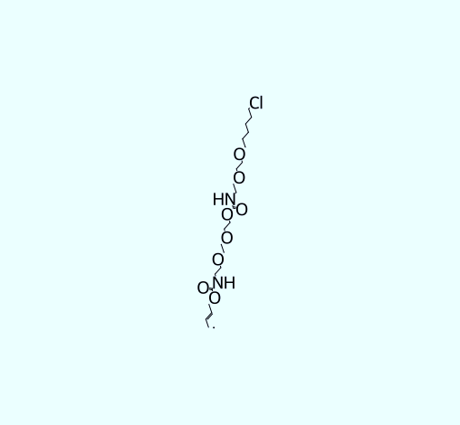 [CH2]/C=C/COC(=O)NCCOCCOCCOC(=O)NCCOCCOCCCCCCCl